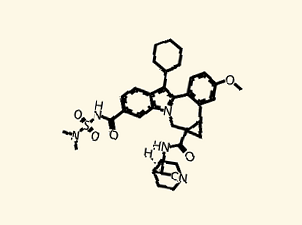 COc1ccc2c(c1)C1CC1(C(=O)N[C@H]1CN3CCC1CC3)Cn1c-2c(C2CCCCC2)c2ccc(C(=O)NS(=O)(=O)N(C)C)cc21